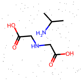 CC(C)N.O=C(O)CNCC(=O)O